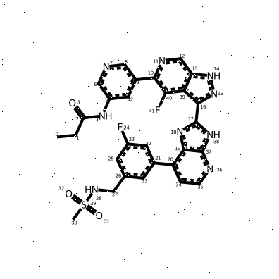 CCC(=O)Nc1cncc(-c2ncc3[nH]nc(-c4nc5c(-c6cc(F)cc(CNS(C)(=O)=O)c6)ccnc5[nH]4)c3c2F)c1